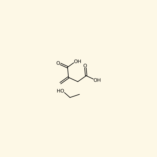 C=C(CC(=O)O)C(=O)O.CCO